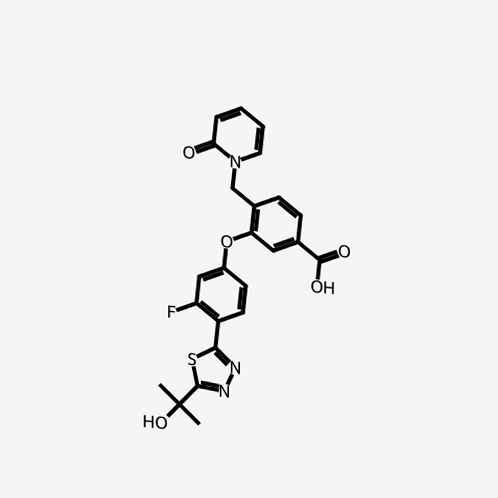 CC(C)(O)c1nnc(-c2ccc(Oc3cc(C(=O)O)ccc3Cn3ccccc3=O)cc2F)s1